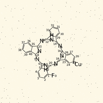 Fc1cccc2c3nc4nc(nc5[nH]c(nc6nc(nc([nH]3)c12)-c1ccccc1-6)c1ccccc51)-c1ccccc1-4.[Cu]